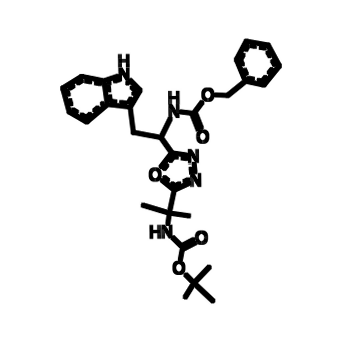 CC(C)(C)OC(=O)NC(C)(C)c1nnc(C(Cc2c[nH]c3ccccc23)NC(=O)OCc2ccccc2)o1